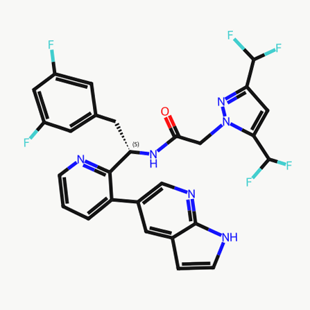 O=C(Cn1nc(C(F)F)cc1C(F)F)N[C@@H](Cc1cc(F)cc(F)c1)c1ncccc1-c1cnc2[nH]ccc2c1